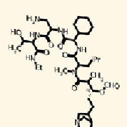 CCNC(=O)C(NC(=O)C(CN)NC(=O)C(NC(=O)C(CC(C)C)N(C)C(=O)C(C)[C@@H](CCC1CN2CCC1C2)OC=O)C1CCCCC1)C(C)O